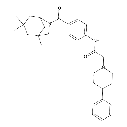 CC1(C)CC2CC(C)(CN2C(=O)c2ccc(NC(=O)CN3CCC(c4ccccc4)CC3)cc2)C1